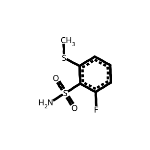 CSc1cccc(F)c1S(N)(=O)=O